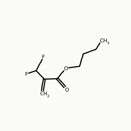 C=C(C(=O)OCCCC)C(F)F